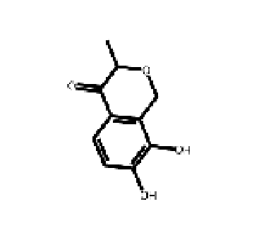 CC1OCc2c(ccc(O)c2O)C1=O